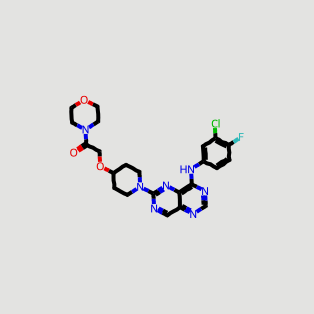 O=C(COC1CCN(c2ncc3ncnc(Nc4ccc(F)c(Cl)c4)c3n2)CC1)N1CCOCC1